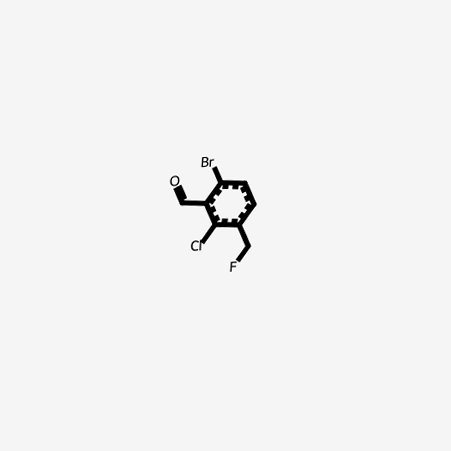 O=Cc1c(Br)ccc(CF)c1Cl